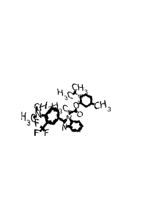 CC1CC[C@@H](C(C)C)[C@H](OC(=O)[C@@H](C)n2c(-c3ccc(N(C)C)c(C(F)(F)F)c3)nc3ccccc32)C1